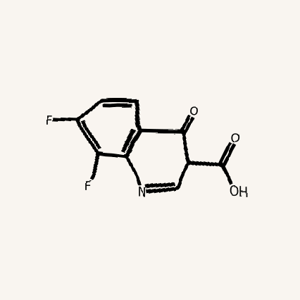 O=C(O)C1C=Nc2c(ccc(F)c2F)C1=O